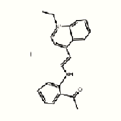 CC[n+]1ccc(C=CNc2ccccc2C(C)=O)c2ccccc21.[I-]